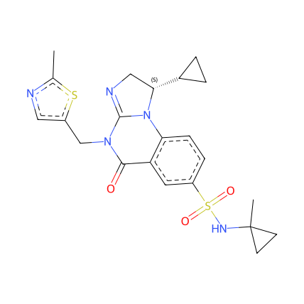 Cc1ncc(CN2C(=O)c3cc(S(=O)(=O)NC4(C)CC4)ccc3N3C2=NC[C@@H]3C2CC2)s1